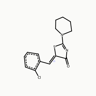 O=C1N=C(N2CCCCC2)S/C1=C\c1ccccc1Cl